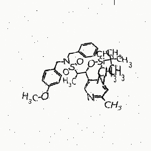 COc1ccc(CN(Cc2ccccc2)S(=O)(=O)[C@H](C)[C@@H](O[Si](C)(C)C(C)(C)C)c2cnc(C)cn2)cc1